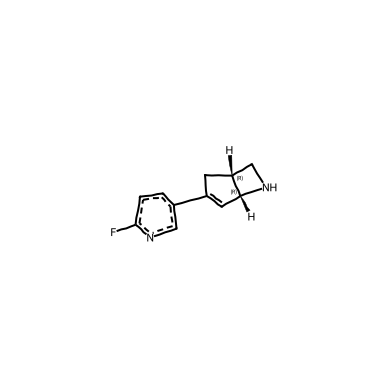 Fc1ccc(C2=C[C@H]3NC[C@H]3C2)cn1